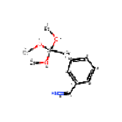 CCC[Si](OCC)(OCC)OCC.N=Cc1ccccc1